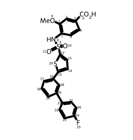 COc1cc(C(=O)O)ccc1NS(=O)(=O)c1ccc(-c2cccc(-c3ccc(F)cc3)c2)s1